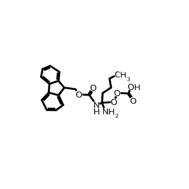 CCCCC(N)(NC(=O)OCC1c2ccccc2-c2ccccc21)OOC(=O)O